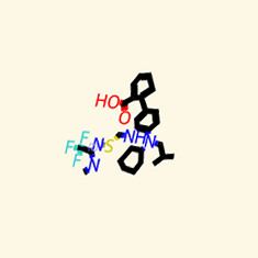 C=N/C(=N\SCNc1cc(-c2ccccc2C(=O)O)ccc1N(CC(C)C)C1CCCCC1)C(F)(F)F